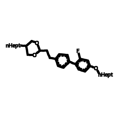 CCCCCCCOc1ccc(-c2ccc(CCC3OCC(CCCCCCC)CO3)cc2)c(F)c1